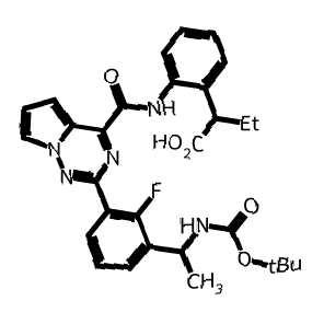 CCC(C(=O)O)c1ccccc1NC(=O)c1nc(-c2cccc(C(C)NC(=O)OC(C)(C)C)c2F)nn2cccc12